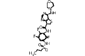 CCCS(=O)(=O)Nc1cc(F)c(F)c(NC(=O)C2CSc3c(NN4CCOCC4)ncnc32)c1F